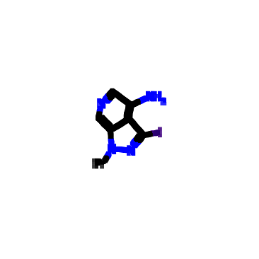 CC(C)n1nc(I)c2c(N)cncc21